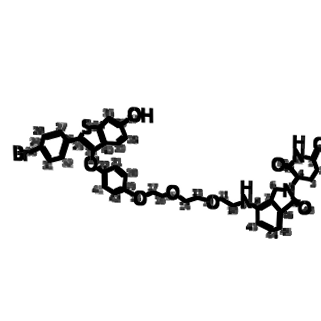 O=C1CCC(N2Cc3c(NCCOCCOCCOc4ccc(Oc5c(-c6ccc(Br)cc6)sc6cc(O)ccc56)cc4)cccc3C2=O)C(=O)N1